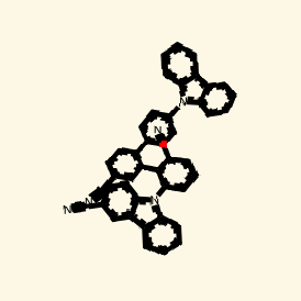 N#Cc1ccc(-c2ccc(-n3c4ccccc4c4ccccc43)cc2)c(-c2c(C#N)cccc2-n2c3ccccc3c3cc(C#N)ccc32)c1